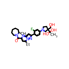 CCc1cc(C(=O)N2CCCCC[C@H]2C)nc2cc(-c3ccc(N4CCC(CO)(C(C)(O)O)C4)cc3F)nn12